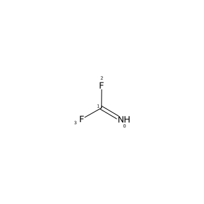 N=C(F)F